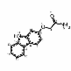 NC(=O)COc1ccc2c(c1)[nH]c1ccccc12